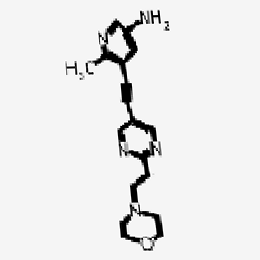 Cc1ncc(N)cc1C#Cc1cnc([CH]CN2CCOCC2)nc1